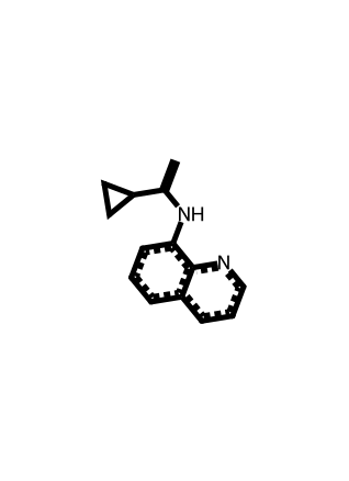 C=C(Nc1cccc2cccnc12)C1CC1